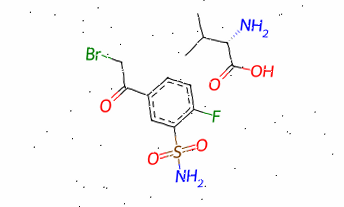 CC(C)[C@H](N)C(=O)O.NS(=O)(=O)c1cc(C(=O)CBr)ccc1F